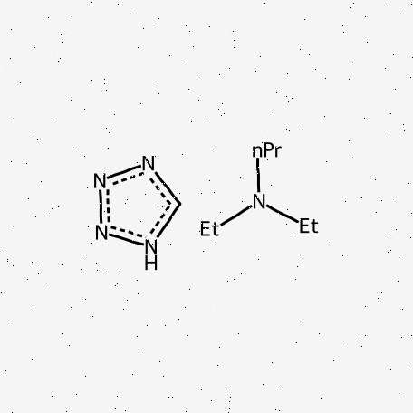 CCCN(CC)CC.c1nnn[nH]1